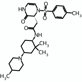 Cc1ccc(S(=O)(=O)N2C=CNC(=O)[C@H]2CC(=O)N[C@@H]2CC[C@H](N3CCC(C)CC3)CC2(C)C)cc1